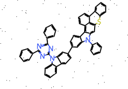 c1ccc(-c2nc(-c3ccccc3)nc(-n3c4ccccc4c4ccc(-c5ccc6c7c8cccc9c8c(cc7n(-c7ccccc7)c6c5)Sc5ccccc5-9)cc43)n2)cc1